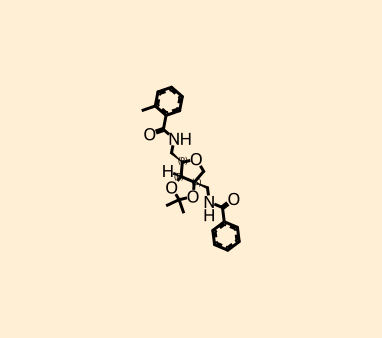 Cc1ccccc1C(=O)NC[C@H]1OC[C@]2(CNC(=O)c3ccccc3)OC(C)(C)O[C@H]12